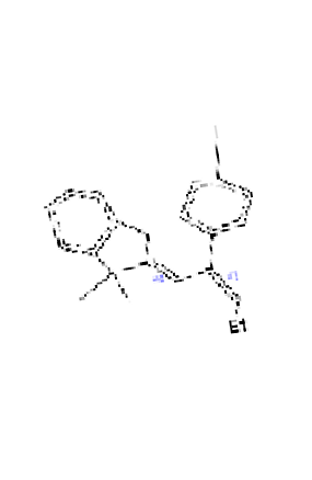 CC/C=C(\C=C1/Cc2ccccc2C1(C)C)c1ccc(I)cc1